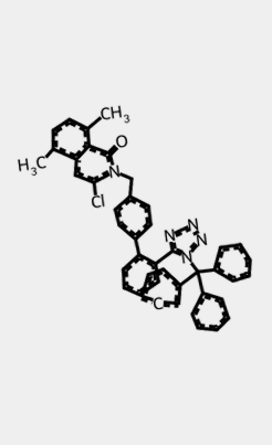 Cc1ccc(C)c2c(=O)n(Cc3ccc(-c4ccccc4-c4nnnn4C(c4ccccc4)(c4ccccc4)c4ccccc4)cc3)c(Cl)cc12